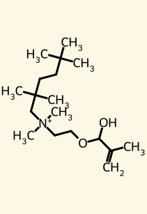 C=C(C)C(O)OCC[N+](C)(C)CC(C)(C)CCC(C)(C)C